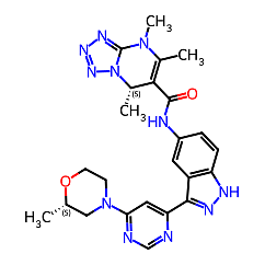 CC1=C(C(=O)Nc2ccc3[nH]nc(-c4cc(N5CCO[C@@H](C)C5)ncn4)c3c2)[C@H](C)n2nnnc2N1C